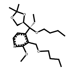 CCCCOCc1c([C@](CC)(OCCCC)[C@H]2COC(C)(C)O2)ccnc1OC